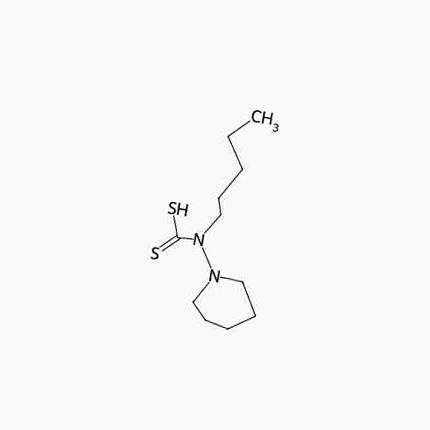 CCCCCN(C(=S)S)N1CCCCC1